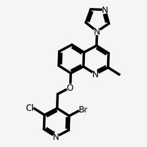 Cc1cc(-n2ccnc2)c2cccc(OCc3c(Cl)cncc3Br)c2n1